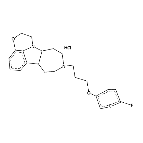 Cl.Fc1ccc(OCCCN2CCC3c4cccc5c4N(CCO5)C3CC2)cc1